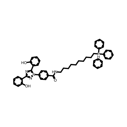 O=C(NCCCCCCCCCC[PH](c1ccccc1)(c1ccccc1)c1ccccc1)c1ccc(-n2nc(-c3ccccc3O)nc2-c2ccccc2O)cc1